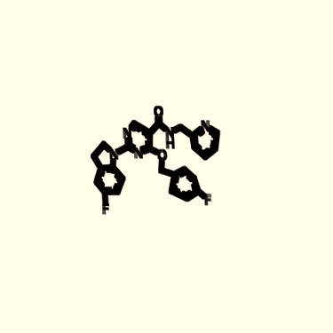 O=C(NCc1ccccn1)c1cnc(N2CCc3cc(F)ccc32)nc1OCc1ccc(F)cc1